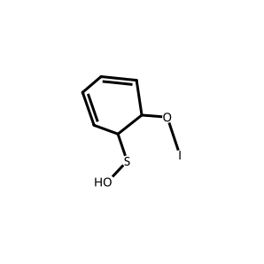 OSC1C=CC=CC1OI